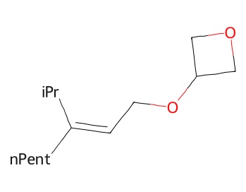 CCCCCC(=CCOC1COC1)C(C)C